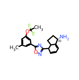 Cc1cc(OC(C)(F)F)cc(-c2nc(C3C=CC=C4C3CC[C@@H]4N)no2)c1